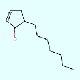 CCCCCCCC1CC=CC1=O